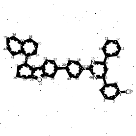 Clc1cccc(-c2cc(-c3ccccc3)nc(-c3ccc(-c4ccc5c(c4)oc4cccc(-c6cccc7ccccc67)c45)cc3)n2)c1